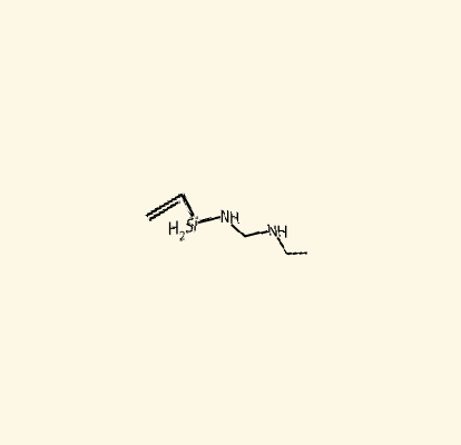 C=C[SiH2]NCNCC